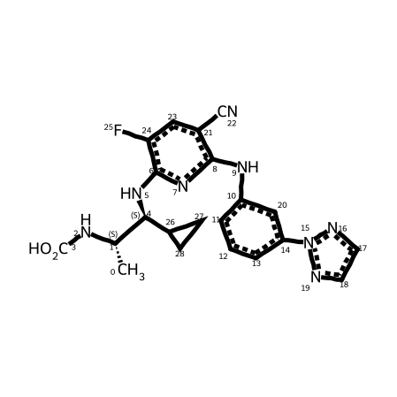 C[C@H](NC(=O)O)[C@@H](Nc1nc(Nc2cccc(-n3nccn3)c2)c(C#N)cc1F)C1CC1